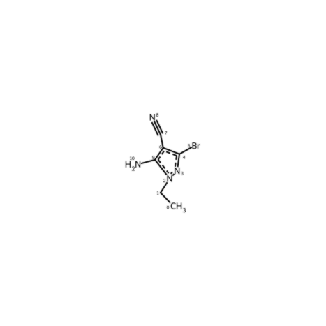 CCn1nc(Br)c(C#N)c1N